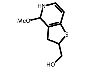 COC1NC=CC2=C1CC(CO)S2